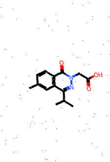 Cc1ccc2c(=O)n(CC(=O)O)nc(C(C)C)c2c1